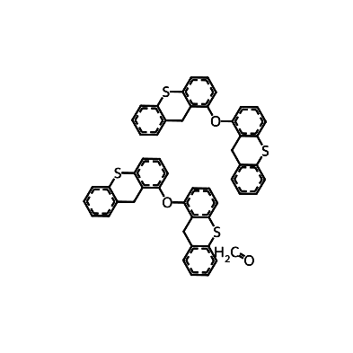 C=O.c1ccc2c(c1)Cc1c(Oc3cccc4c3Cc3ccccc3S4)cccc1S2.c1ccc2c(c1)Cc1c(Oc3cccc4c3Cc3ccccc3S4)cccc1S2